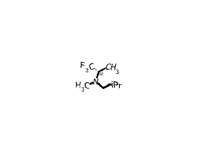 CC(C)CN(C)[C@@H](C)C(F)(F)F